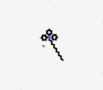 CCCCCCCCCCCC[N+](c1ccccc1)(c1ccccc1)c1ccccc1.[Br-]